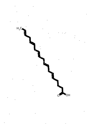 C/C=C/C/C=C/C/C=C/C/C=C/C/C=C/CCCC(=O)O